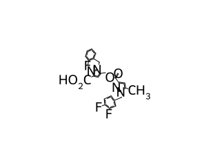 Cc1cc(C(=O)OCc2cc(C(=O)O)nn2Cc2ccccc2F)nn1Cc1ccc(F)c(F)c1